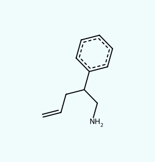 C=CCC(CN)c1ccccc1